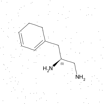 NC[C@@H](N)CC1=CC=CCC1